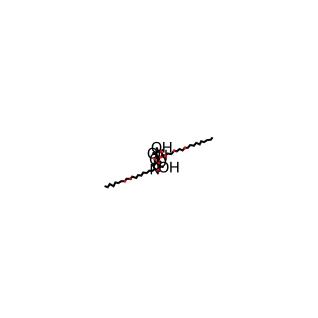 CCCCCCCCCCCCCCCCCCn1cc(Oc2cn(CCCCCCCCCCCCCCCCCC)c(C)c(O)c2=O)c(=O)c(O)c1C